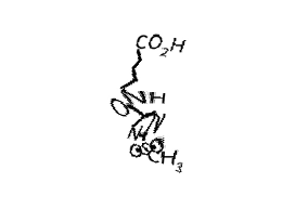 CS(=O)(=O)c1ncc(C(=O)NCCCCCC(=O)O)cn1